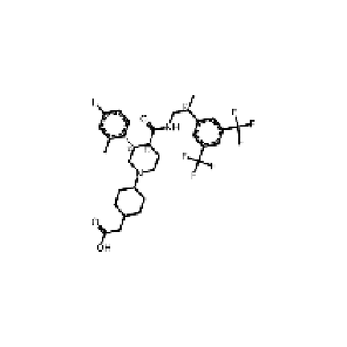 Cc1cc(F)ccc1[C@H]1CN(C2CCC(CC(=O)O)CC2)CC[C@@H]1C(=O)NC[C@@H](C)c1cc(C(F)(F)F)cc(C(F)(F)F)c1